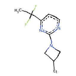 CCC1CN(c2nccc(C(C)(F)F)n2)C1